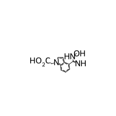 N=C(NO)c1cccc2c1ccn2CC(=O)O